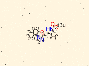 CC(C)(C)OC(=O)Nc1ccccc1CCC(=O)c1nccn1-c1cccc2ccccc12